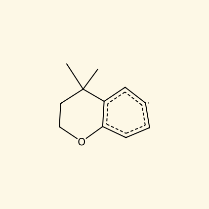 CC1(C)CCOc2cc[c]cc21